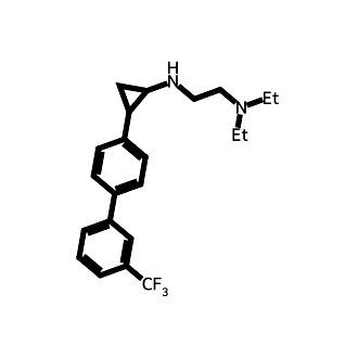 CCN(CC)CCNC1CC1c1ccc(-c2cccc(C(F)(F)F)c2)cc1